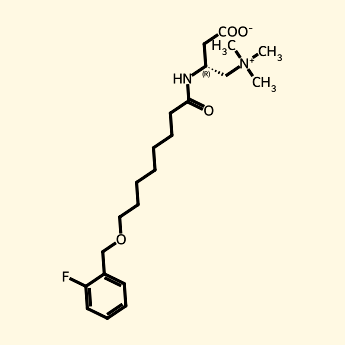 C[N+](C)(C)C[C@@H](CC(=O)[O-])NC(=O)CCCCCCCOCc1ccccc1F